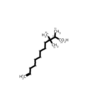 C=CCCCCCCCC(C)(C)C(C)C(=O)O